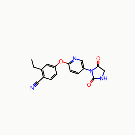 CCc1cc(Oc2ccc(N3C(=O)CNC3=O)cn2)ccc1C#N